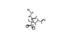 C=CCCC(C)(C(=C)CCC)C(=O)Cl